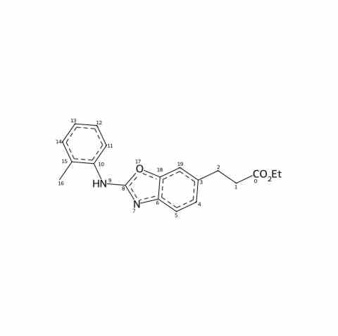 CCOC(=O)CCc1ccc2nc(Nc3ccccc3C)oc2c1